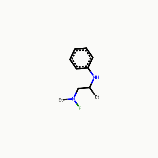 CCC(CN(F)CC)Nc1ccccc1